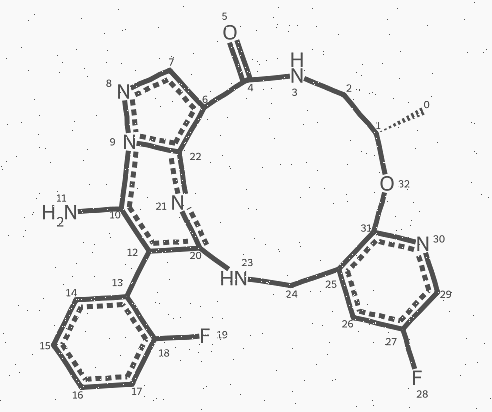 C[C@H]1CNC(=O)c2cnn3c(N)c(-c4ccccc4F)c(nc23)NCc2cc(F)cnc2O1